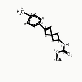 CC(C)(C)OC(=O)NC1CC2(C=C(c3ccc(C(F)(F)F)cc3)C2)C1